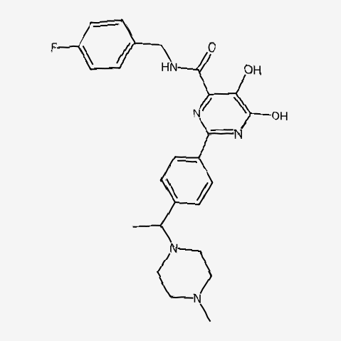 CC(c1ccc(-c2nc(O)c(O)c(C(=O)NCc3ccc(F)cc3)n2)cc1)N1CCN(C)CC1